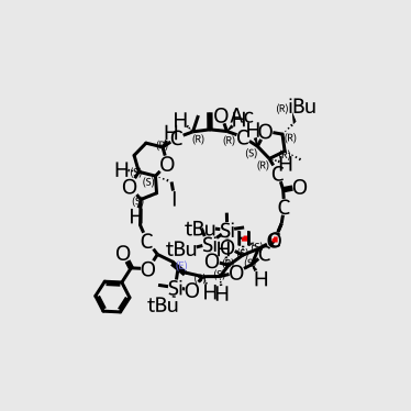 C=C1[C@H](C)C[C@H]2CC[C@@H]3O[C@@H](CCC(OC(=O)c4ccccc4)/C=C/[C@H](O[Si](C)(C)C(C)(C)C)[C@@H]4O[C@H]5CCC(CC(=O)C[C@@H]6[C@@H](C)[C@@H](C[C@H](C)CC)O[C@H]6C[C@H]1OC(C)=O)O[C@@H]5[C@H](O[Si](C)(C)C(C)(C)C)[C@@H]4O[Si](C)(C)C(C)(C)C)C[C@]3(CI)O2